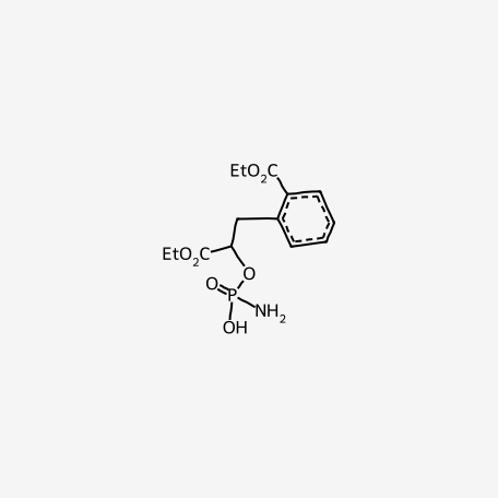 CCOC(=O)c1ccccc1CC(OP(N)(=O)O)C(=O)OCC